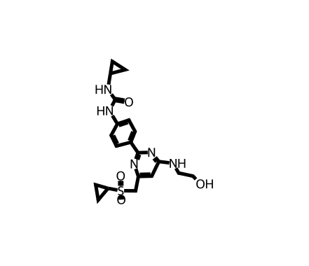 O=C(Nc1ccc(-c2nc(CS(=O)(=O)C3CC3)cc(NCCO)n2)cc1)NC1CC1